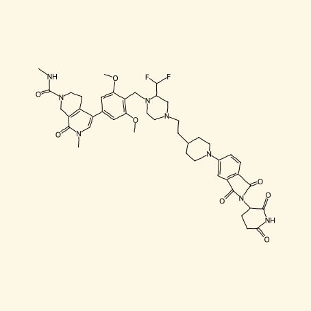 CNC(=O)N1CCc2c(-c3cc(OC)c(CN4CCN(CCC5CCN(c6ccc7c(c6)C(=O)N(C6CCC(=O)NC6=O)C7=O)CC5)CC4C(F)F)c(OC)c3)cn(C)c(=O)c2C1